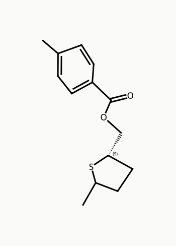 Cc1ccc(C(=O)OC[C@@H]2CCC(C)S2)cc1